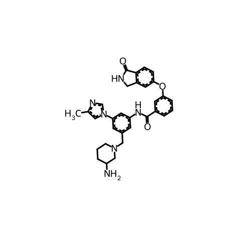 Cc1cn(-c2cc(CN3CCCC(N)C3)cc(NC(=O)c3cccc(Oc4ccc5c(c4)CNC5=O)c3)c2)cn1